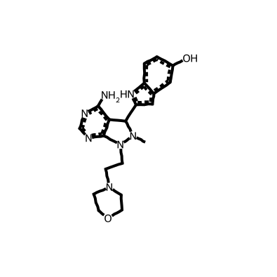 CN1C(c2cc3cc(O)ccc3[nH]2)c2c(N)ncnc2N1CCN1CCOCC1